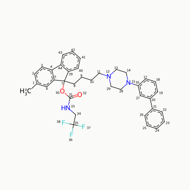 Cc1ccc2c(c1)C(CCCCN1CCN(c3cccc(-c4ccccc4)c3)CC1)(OC(=O)NCC(F)(F)F)c1ccccc1-2